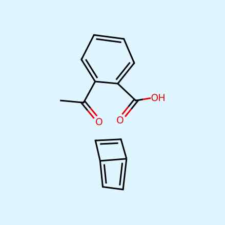 CC(=O)c1ccccc1C(=O)O.c1cc2ccc1-2